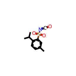 Cc1ccc(C(C)C)c(S(=O)(=O)N=C=O)c1